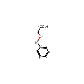 O=C(O)C[O][Sn][c]1ccccc1